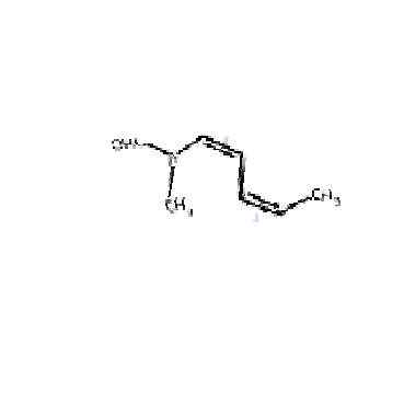 C/C=C\C=C/N(C)C=O